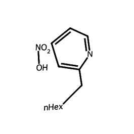 CCCCCCCc1ccccn1.O=[N+]([O-])O